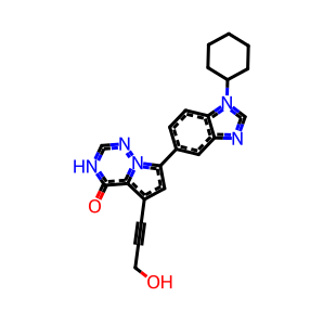 O=c1[nH]cnn2c(-c3ccc4c(c3)ncn4C3CCCCC3)cc(C#CCO)c12